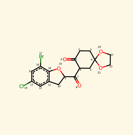 O=C1CCC2(CC1C(=O)C1Cc3cc(Cl)cc(Br)c3O1)OCCO2